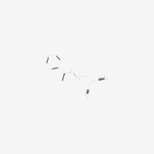 C=C(N=NCC(C#N)C#N)c1ccccc1